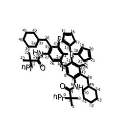 CCCC(C)(C)C(=O)Nc1cc(F)[c]([Ti]([C]2=CC=CC2)([C]2=CC=CC2)[c]2c(F)cc(NC(=O)C(C)(C)CCC)c(CC3CCCCC3)c2F)c(F)c1CC1CCCCC1